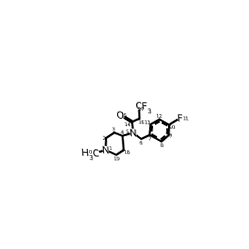 CN1CCC(N(Cc2ccc(F)cc2)C(=O)CC(F)(F)F)CC1